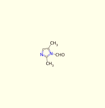 Cc1cnc(C)n1C=O